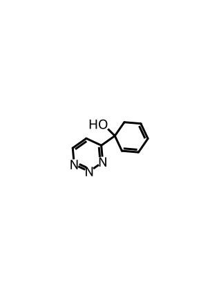 OC1(c2ccnnn2)C=CC=CC1